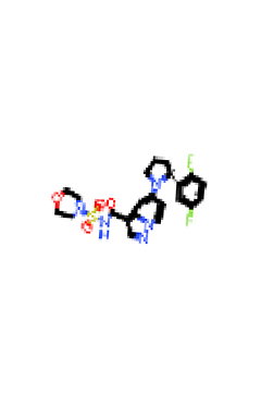 O=C(NS(=O)(=O)N1CCOCC1)c1cnn2ccc(N3CCC[C@@H]3c3cc(F)ccc3F)cc12